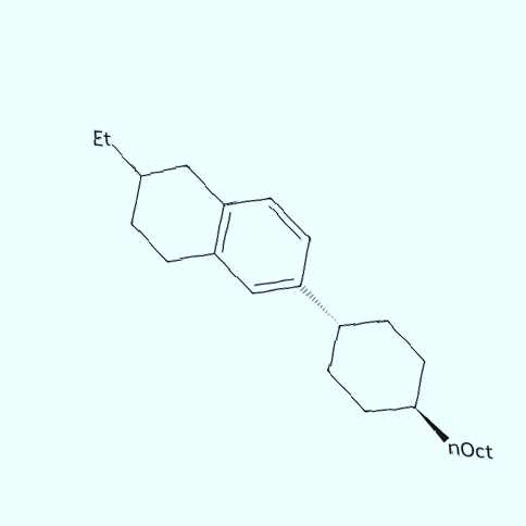 CCCCCCCC[C@H]1CC[C@H](c2ccc3c(c2)CCC(CC)C3)CC1